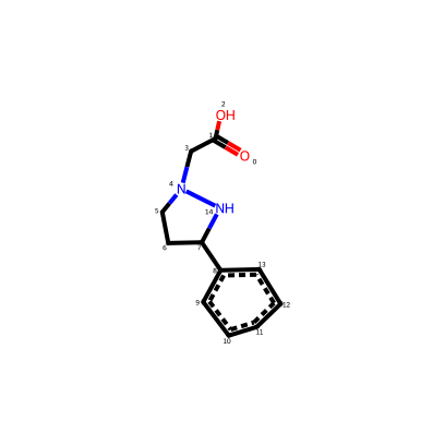 O=C(O)CN1CCC(c2ccccc2)N1